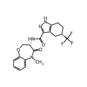 CN1C(=O)[C@@H](NC(=O)c2n[nH]c3c2C[C@H](C(F)(F)F)CC3)COc2ccccc21